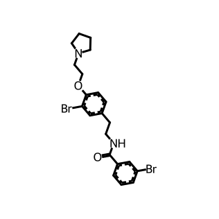 O=C(NCCc1ccc(OCCN2CCCC2)c(Br)c1)c1cccc(Br)c1